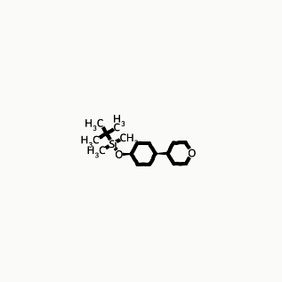 CC(C)(C)[Si](C)(C)O[C@H]1CC[C@@H](C2CCOCC2)CC1